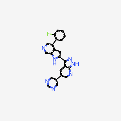 Fc1ccccc1-c1cncc2[nH]c(-c3n[nH]c4ncc(-c5cncnc5)cc34)cc12